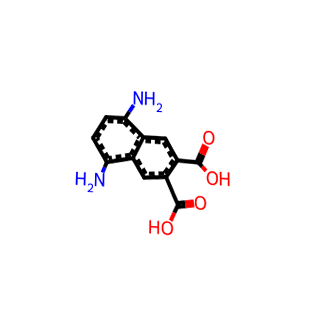 Nc1ccc(N)c2cc(C(=O)O)c(C(=O)O)cc12